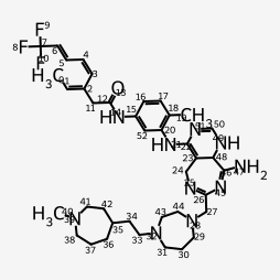 C\C=C(/C=C\C=C\C(F)(F)F)CC(=O)Nc1ccc(C)c(NC2=C3CN=C(CN4CCCN(CCC5CCCN(C)CC5)CC4)N=C(N)C3NC=N2)c1